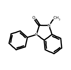 Cn1c(=O)n(-c2ccccc2)c2ccccc21